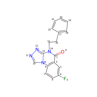 O=c1c2cc(F)ccc2n2cnnc2n1CCc1ccccc1